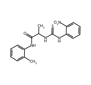 Cc1ccccc1NC(=O)C(C)NC(=S)Nc1ccccc1[N+](=O)[O-]